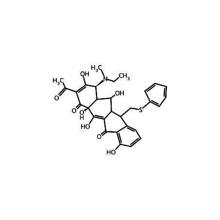 CCN(C)[C@@H]1C(O)=C(C(C)=O)C(=O)[C@@]2(O)C(O)=C3C(=O)c4c(O)cccc4C(CSc4ccccc4)C3C(O)C12